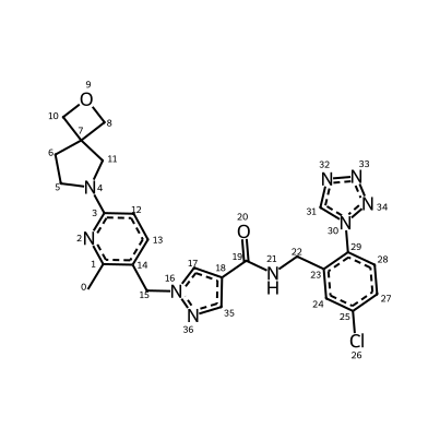 Cc1nc(N2CCC3(COC3)C2)ccc1Cn1cc(C(=O)NCc2cc(Cl)ccc2-n2cnnn2)cn1